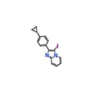 Ic1c(-c2ccc(C3CC3)cc2)nc2ccccn12